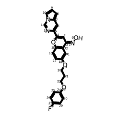 ON=c1cc(-c2cc3cccn3cn2)oc2ccc(OCCCOc3ccc(F)cc3)cc12